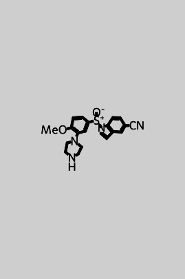 COc1ccc([S+]([O-])n2ccc3cc(C#N)ccc32)cc1N1CCNCC1